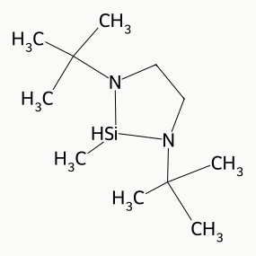 C[SiH]1N(C(C)(C)C)CCN1C(C)(C)C